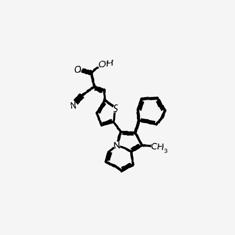 Cc1c(-c2ccccc2)c(-c2ccc(/C=C(\C#N)C(=O)O)s2)n2ccccc12